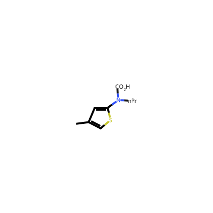 CCCN(C(=O)O)c1cc(C)cs1